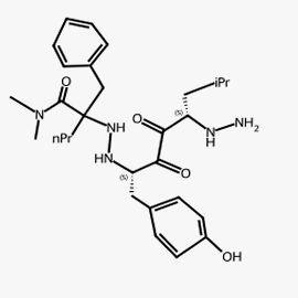 CCCC(Cc1ccccc1)(NN[C@@H](Cc1ccc(O)cc1)C(=O)C(=O)[C@H](CC(C)C)NN)C(=O)N(C)C